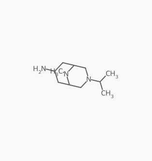 CC(C)N1CC2CC(N)CC(C1)N2C